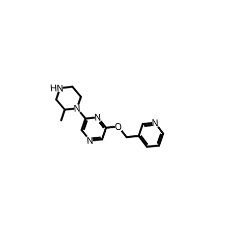 CC1CNCCN1c1cncc(OCc2cccnc2)n1